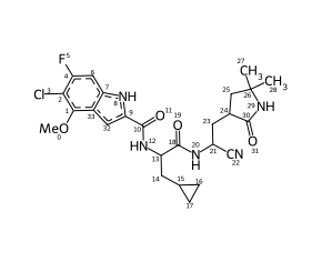 COc1c(Cl)c(F)cc2[nH]c(C(=O)NC(CC3CC3)C(=O)NC(C#N)CC3CC(C)(C)NC3=O)cc12